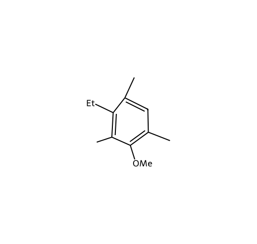 CCc1c(C)cc(C)c(OC)c1C